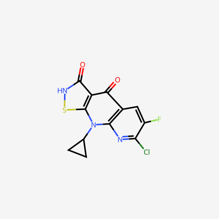 O=c1[nH]sc2c1c(=O)c1cc(F)c(Cl)nc1n2C1CC1